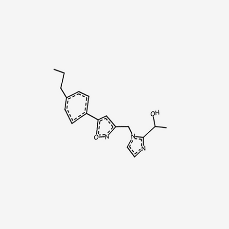 CCCc1ccc(-c2cc(Cn3ccnc3C(C)O)no2)cc1